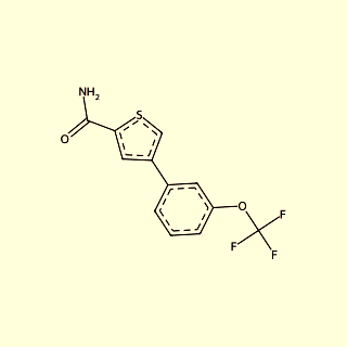 NC(=O)c1cc(-c2cccc(OC(F)(F)F)c2)cs1